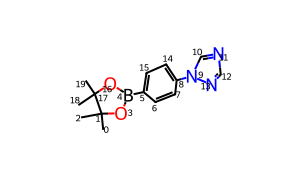 CC1(C)OB(c2ccc(-n3cncn3)cc2)OC1(C)C